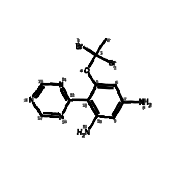 CC(Br)(Br)Oc1cc(N)cc(N)c1-c1ncncn1